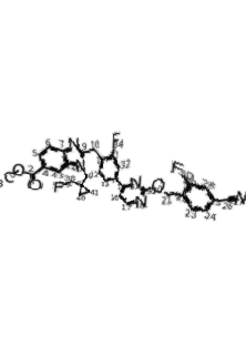 COC(=O)c1ccc2nc(Cc3ccc(-c4ccnc(OCc5ccc(C#N)cc5F)n4)cc3F)n(CC3(CF)CC3)c2c1